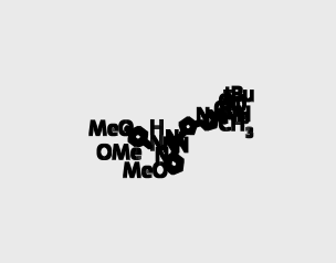 COc1ccc(CNc2nc3c(OC)cccc3c3nc(C4CCC(c5ccc(C(C)(C)NC(=O)OC(C)(C)C)cn5)C4)nn23)c(OC)c1